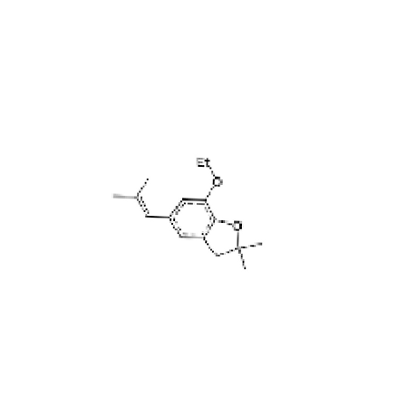 CCOc1cc(C=C(C)C)cc2c1OC(C)(C)C2